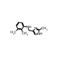 Cc1nc(CNc2cccc(C)c2C)c[nH]1